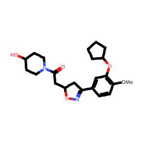 COc1ccc(C2=NOC(CC(=O)N3CCC(O)CC3)C2)cc1OC1CCCC1